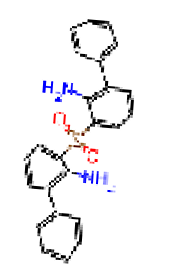 Nc1c(-c2ccccc2)cccc1S(=O)(=O)c1cccc(-c2ccccc2)c1N